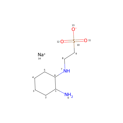 NC1CCCCC1NCCS(=O)(=O)[O-].[Na+]